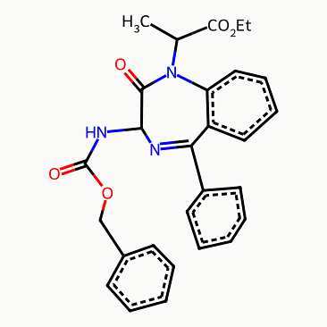 CCOC(=O)C(C)N1C(=O)C(NC(=O)OCc2ccccc2)N=C(c2ccccc2)c2ccccc21